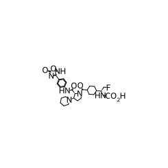 O=C(O)N[C@H](CF)C1CCC(C(=O)N2CC[C@@H](N3CCCCC3)[C@H]2C(=O)Nc2ccc(-c3nc(=O)o[nH]3)cc2)CC1